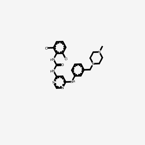 CN1CCN(Cc2cccc(Nc3cc(NC(=O)Nc4c(Cl)cccc4Cl)ncn3)c2)CC1